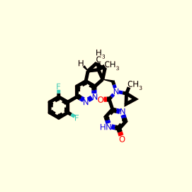 CC1(N(C[C@@]23CC[C@@H](c4cc(-c5c(F)cccc5F)nnc42)C3(C)C)C(=O)c2c[nH]c(=O)cn2)CC1